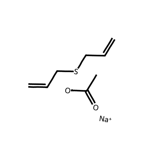 C=CCSCC=C.CC(=O)[O-].[Na+]